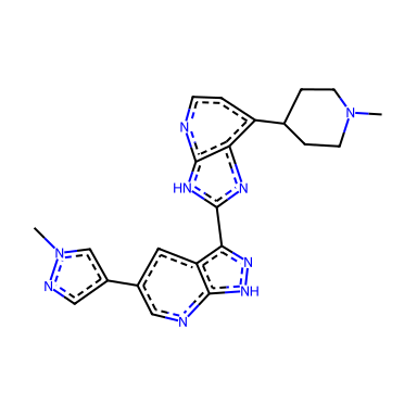 CN1CCC(c2ccnc3[nH]c(-c4n[nH]c5ncc(-c6cnn(C)c6)cc45)nc23)CC1